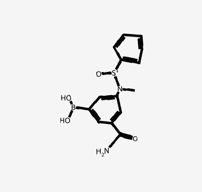 CN(c1cc(B(O)O)cc(C(N)=O)c1)[S+]([O-])c1ccccc1